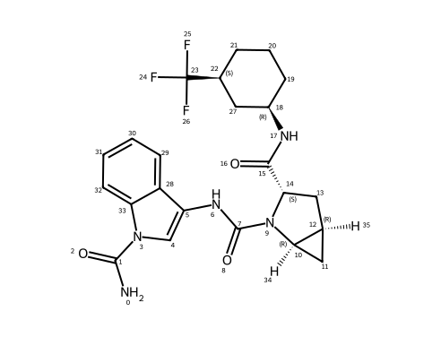 NC(=O)n1cc(NC(=O)N2[C@@H]3C[C@@H]3C[C@H]2C(=O)N[C@@H]2CCC[C@H](C(F)(F)F)C2)c2ccccc21